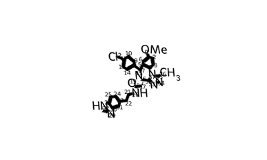 COc1ccc2c(c1)C(c1ccc(Cl)cc1)=N[C@@H](CC(=O)NCCc1ccc3[nH]cnc3c1)c1nnc(C)n1-2